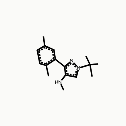 CNc1cn(C(C)(C)C)nc1-c1cc(C)ccc1C